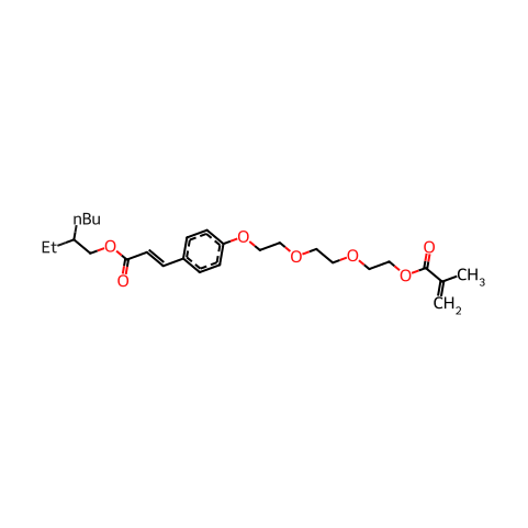 C=C(C)C(=O)OCCOCCOCCOc1ccc(/C=C/C(=O)OCC(CC)CCCC)cc1